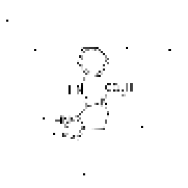 O=C(O)N1CCc2cc[nH]c2C1Nc1ccccc1